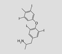 Cc1c(I)cc(Oc2c(I)cc(CC(C)N)cc2I)cc1I